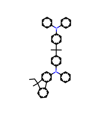 CCC1(C)c2ccccc2-c2cc(N(c3ccccc3)c3ccc(C(C)(C)c4ccc(N(c5ccccc5)c5ccccc5)cc4)cc3)ccc21